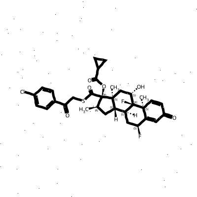 C[C@@H]1C[C@H]2[C@@H]3C[C@H](F)C4=CC(=O)C=C[C@]4(C)[C@@]3(F)[C@@H](O)C[C@]2(C)[C@@]1(OC(=O)C1CC1)C(=O)SCC(=O)c1ccc(Cl)cc1